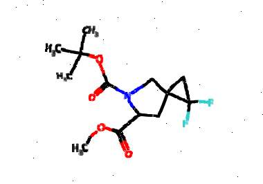 COC(=O)C1CC2(CN1C(=O)OC(C)(C)C)CC2(F)F